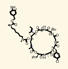 C/C=C(\C)[C@H]1OC(=O)[C@@H](C)NC(=O)[C@H](C(C)CC)NC(=O)CN(C)C(=O)[C@@H](Cc2ccc(Cl)cc2)N(C)C(=O)[C@H](C)NC(=O)[C@@H](CC(C)C)OC(=O)/C(C)=C/C[C@H](OC(=O)N(C)CCCCCCN(C)C(=O)OCc2ccc(N)cc2)[C@@H]1C